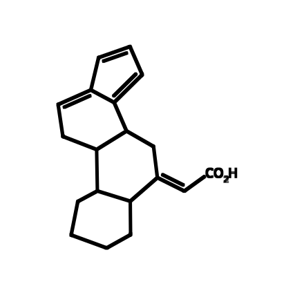 O=C(O)C=C1CC2C3=CC=CC3=CCC2C2CCCCC12